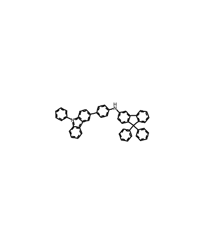 c1ccc(-n2c3ccccc3c3cc(-c4ccc(Nc5ccc6c(c5)-c5ccccc5C6(c5ccccc5)c5ccccc5)cc4)ccc32)cc1